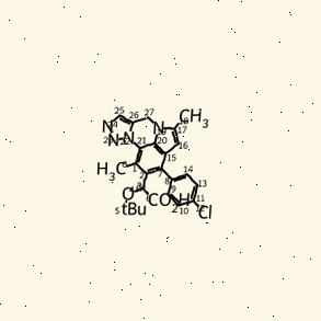 Cc1c([C@H](OC(C)(C)C)C(=O)O)c(-c2ccc(Cl)cc2)c2cc(C)n3c2c1-n1nncc1C3